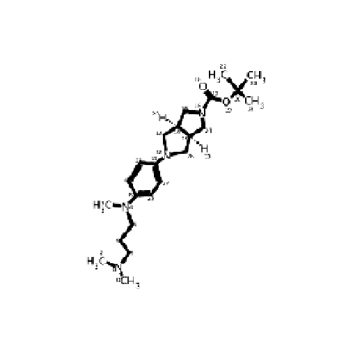 CN(C)CCCN(C)c1ccc(N2C[C@H]3CN(C(=O)OC(C)(C)C)C[C@H]3C2)cc1